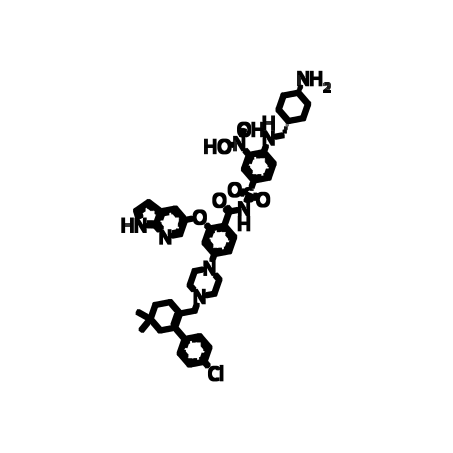 CC1(C)CCC(CN2CCN(c3ccc(C(=O)NS(=O)(=O)c4ccc(NC[C@H]5CC[C@H](N)CC5)c(N(O)O)c4)c(Oc4cnc5[nH]ccc5c4)c3)CC2)=C(c2ccc(Cl)cc2)C1